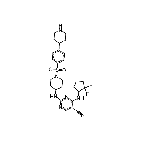 N#Cc1cnc(NC2CCN(S(=O)(=O)c3ccc(C4CCNCC4)cc3)CC2)nc1NC1CCCC1(F)F